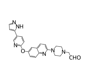 O=CCN1CCN(c2ccc3cc(Oc4ccc(-c5ccn[nH]5)cn4)ccc3n2)CC1